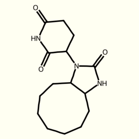 O=C1CCC(N2C(=O)NC3CCCCCCCC32)C(=O)N1